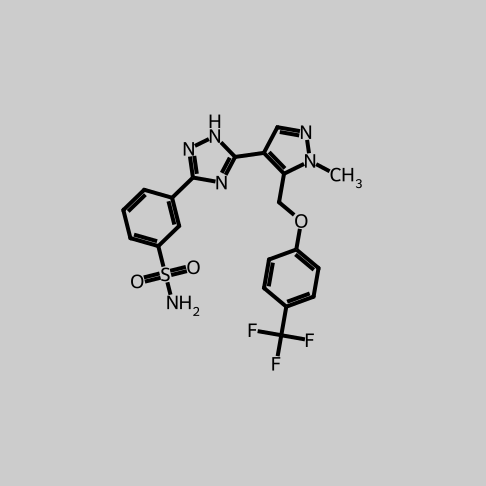 Cn1ncc(-c2nc(-c3cccc(S(N)(=O)=O)c3)n[nH]2)c1COc1ccc(C(F)(F)F)cc1